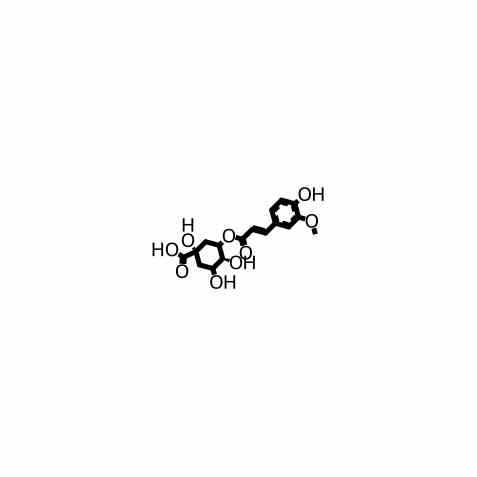 COc1cc(/C=C/C(=O)OC2C[C@@](O)(C(=O)O)CC(O)[C@@H]2O)ccc1O